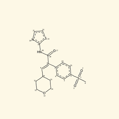 CS(=O)(=O)c1ccc(/C(=C\C2CCOCC2)C(=O)Nc2nccs2)cc1